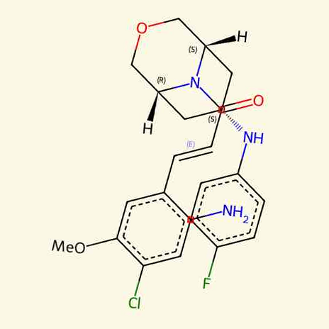 COc1cc(/C=C/C(=O)N2[C@@H]3COC[C@H]2C[C@@H](Nc2ccc(F)cc2)C3)c(N)cc1Cl